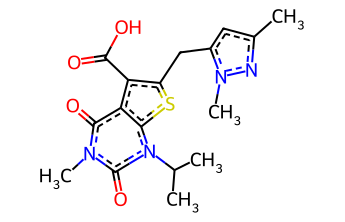 Cc1cc(Cc2sc3c(c2C(=O)O)c(=O)n(C)c(=O)n3C(C)C)n(C)n1